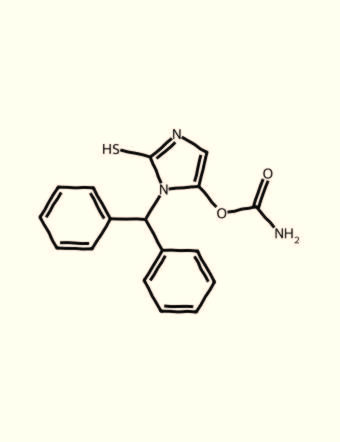 NC(=O)Oc1cnc(S)n1C(c1ccccc1)c1ccccc1